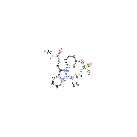 COC(=O)c1cc2c3cccc[n+]3c(N(C)C)n2c2ccccc12.[O-][Cl+3]([O-])([O-])[O-]